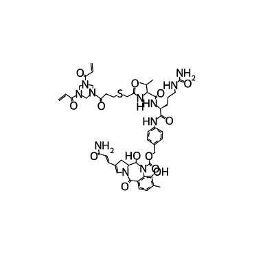 C=CC(=O)N1CN(C(=O)C=C)CN(C(=O)CCSCC(=O)NC(C(=O)N[C@@H](CCCNC(N)=O)C(=O)Nc2ccc(COC(=O)N3c4c(ccc(C)c4O)C(=O)N4C=C(/C=C/C(N)=O)CC4C3O)cc2)C(C)C)C1